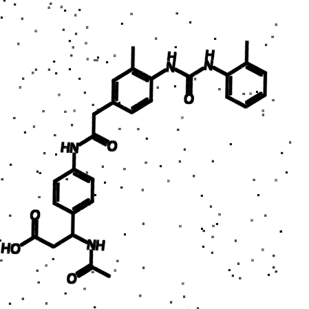 CC(=O)NC(CC(=O)O)c1ccc(NC(=O)Cc2ccc(NC(=O)Nc3ccccc3C)c(C)c2)cc1